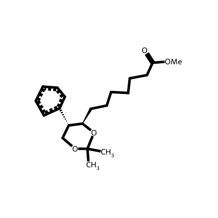 COC(=O)CCCCCC[C@H]1OC(C)(C)OC[C@@H]1c1ccccc1